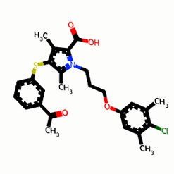 CC(=O)c1cccc(Sc2c(C)c(C(=O)O)n(CCCOc3cc(C)c(Cl)c(C)c3)c2C)c1